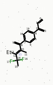 C=CC(=C)c1ccc(C(=C)/C(C)=C(\CC)C(C)(F)F)cc1